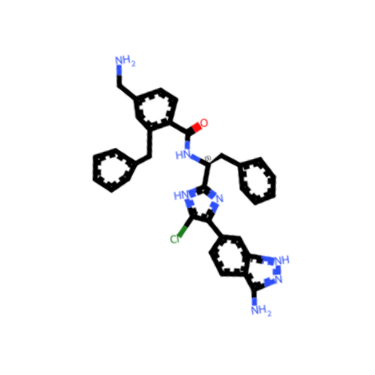 NCc1ccc(C(=O)N[C@@H](Cc2ccccc2)c2nc(-c3ccc4c(N)n[nH]c4c3)c(Cl)[nH]2)c(Cc2ccccc2)c1